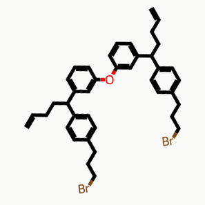 C=CCCC(c1ccc(CCCBr)cc1)c1cccc(Oc2cccc(C(CCC=C)c3ccc(CCCBr)cc3)c2)c1